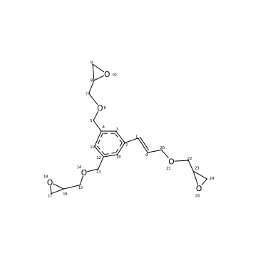 C(=Cc1cc(COCC2CO2)cc(COCC2CO2)c1)COCC1CO1